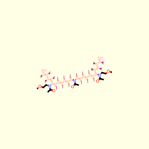 BB(I)B(I)B(I)B(I)B(B(I)B(I)B(I)B(I)B(I)B(I)N(B(I)B(I)B(I)B(I)B(I)B(I)B(B(I)B(I)B(I)B(B)I)N(CCOC)C(C)=O)C(C)=O)N(CCOC)C(C)=O